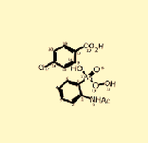 CC(=O)Nc1ccccc1[As](=O)(O)OO.O=C(O)c1ccc(Cl)cc1